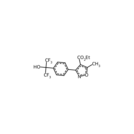 CCOC(=O)c1c(-c2ccc(C(O)(C(F)(F)F)C(F)(F)F)cc2)noc1C